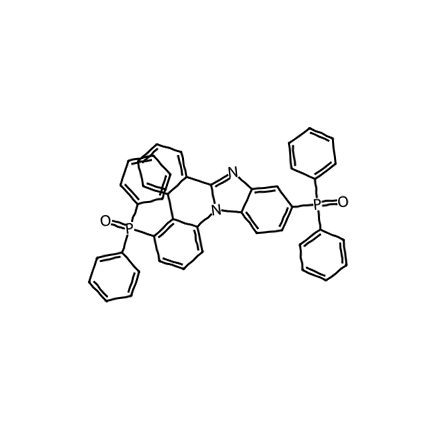 O=P(c1ccccc1)(c1ccccc1)c1ccc2c(c1)nc1c3ccccc3c3c(P(=O)(c4ccccc4)c4ccccc4)cccc3n21